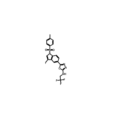 Cc1ccc(S(=O)(=O)n2cc(I)c3cc(-c4nnc(NCC(F)(F)F)o4)ccc32)cc1